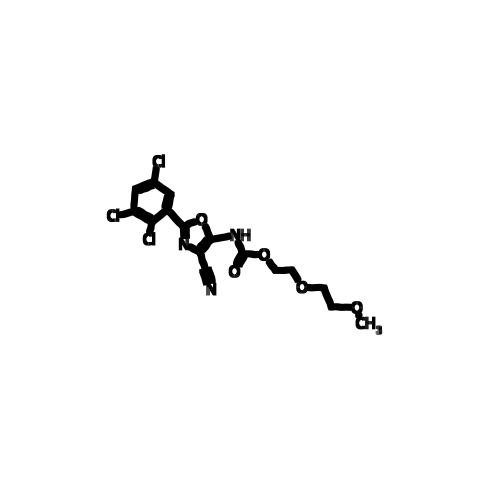 COCCOCCOC(=O)Nc1oc(-c2cc(Cl)cc(Cl)c2Cl)nc1C#N